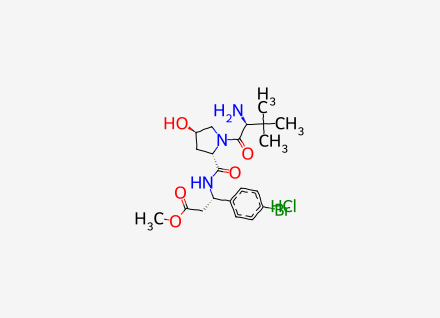 COC(=O)C[C@H](NC(=O)[C@@H]1C[C@@H](O)CN1C(=O)[C@@H](N)C(C)(C)C)c1ccc(Br)cc1.Cl